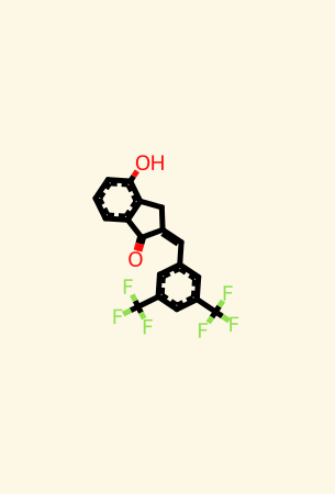 O=C1C(=Cc2cc(C(F)(F)F)cc(C(F)(F)F)c2)Cc2c(O)cccc21